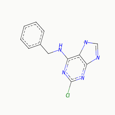 Clc1nc2c(c(NCc3ccccc3)n1)[N]C=N2